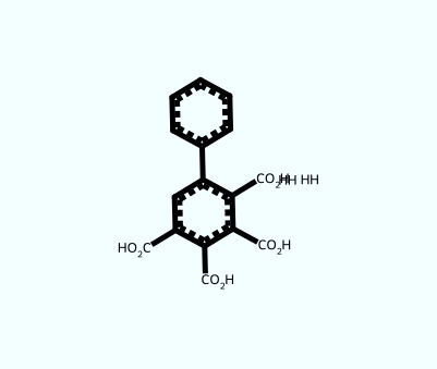 O=C(O)c1cc(-c2ccccc2)c(C(=O)O)c(C(=O)O)c1C(=O)O.[HH].[HH]